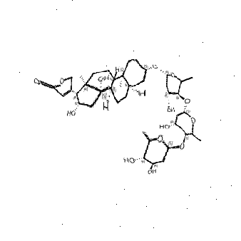 CC1O[C@@H](O[C@@H]2C(C)O[C@@H](O[C@@H]3C(C)O[C@@H](O[C@H]4CC[C@@]5(C)[C@H](CC[C@@H]6[C@@H]5CC[C@]5(C)[C@@H](C7=CC(=O)OC7)[C@@H](O)C[C@]65O)C4)C[C@H]3O)C[C@H]2O)C[C@@H](O)[C@@H]1O